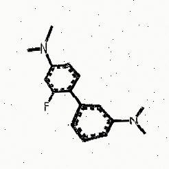 CN(C)c1cc[c]c(-c2ccc(N(C)C)cc2F)c1